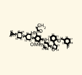 C=CC(=O)Nc1cc(Nc2cc(N3OCCC3c3ccccc3OCc3cccc(F)c3)ncn2)c(OC)cc1N1CCC(N2CCN(C3CC3)CC2)CC1